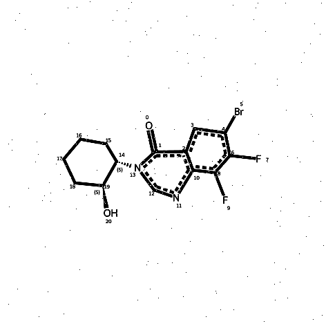 O=c1c2cc(Br)c(F)c(F)c2ncn1[C@H]1CCCC[C@@H]1O